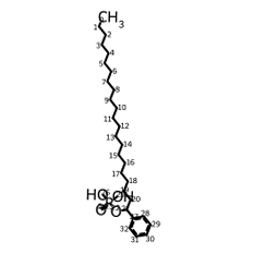 CCCCCCCCCCCCCCCCCCCCCC(OP(=O)(O)O)c1ccccc1